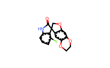 O=C1Nc2cccc(F)c2C12COc1cc3c(cc12)OCCO3